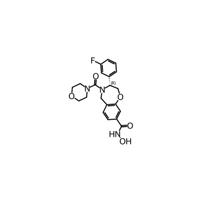 O=C(NO)c1ccc2c(c1)OC[C@@H](c1cccc(F)c1)N(C(=O)N1CCOCC1)C2